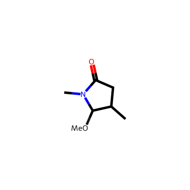 COC1C(C)CC(=O)N1C